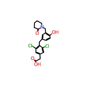 O=C(O)Cc1cc(Cl)c(Cc2ccc(O)c(CN3CCCCC3=O)c2)c(Cl)c1